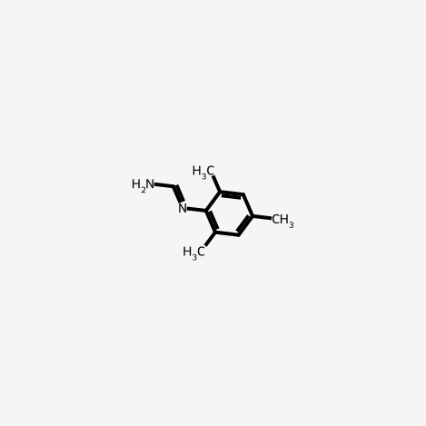 Cc1cc(C)c(N=CN)c(C)c1